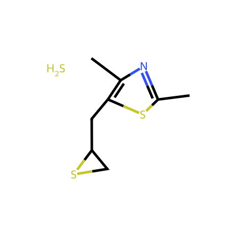 Cc1nc(C)c(CC2CS2)s1.S